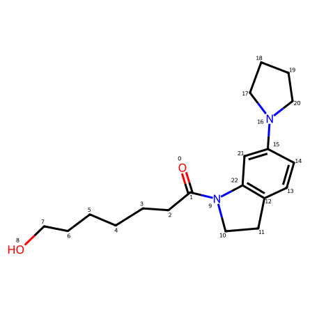 O=C(CCCCCCO)N1CCc2ccc(N3CCCC3)cc21